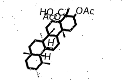 CC(=O)OC1CC[C@]2(C)[C@H]3CC=C4[C@@H]5[C@@H](C)[C@H](C)CC[C@]5(C)CC[C@@]4(C)[C@]3(C)CCC2(OC(C)=O)C1(C)C(=O)O